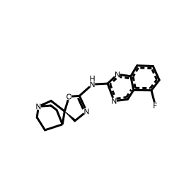 Fc1cccc2nc(NC3=NC[C@@]4(CN5CCC4CC5)O3)ncc12